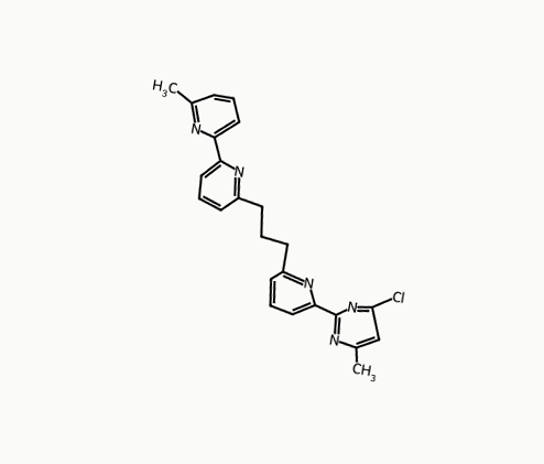 Cc1cccc(-c2cccc(CCCc3cccc(-c4nc(C)cc(Cl)n4)n3)n2)n1